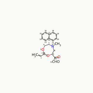 C=CB1OCCN(C)CC(C(=O)C=O)O1.c1ccc2ccccc2c1